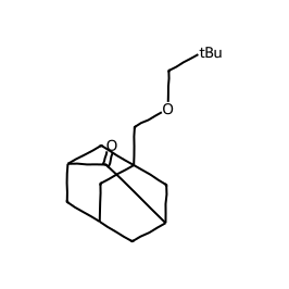 CC(C)(C)COCC12CC3CC(C1)C(=O)C(C3)C2